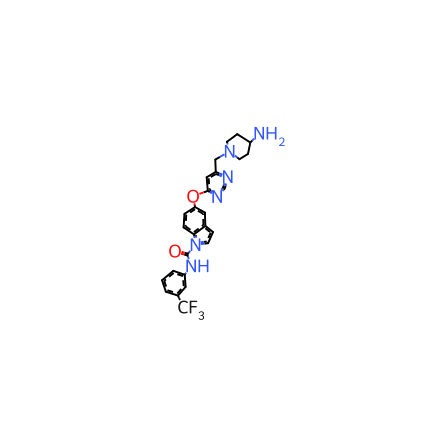 NC1CCN(Cc2cc(Oc3ccc4c(ccn4C(=O)Nc4cccc(C(F)(F)F)c4)c3)ncn2)CC1